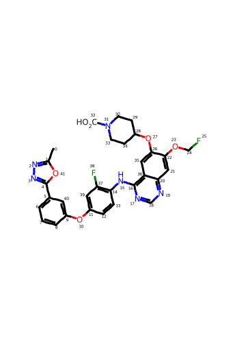 Cc1nnc(-c2cccc(Oc3ccc(Nc4ncnc5cc(OCF)c(OC6CCN(C(=O)O)CC6)cc45)c(F)c3)c2)o1